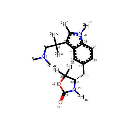 [2H]c1c(C([2H])([2H])CN(C)C)c2cc(C[C@@H]3N([2H])C(=O)OC3([2H])[2H])ccc2n1[2H]